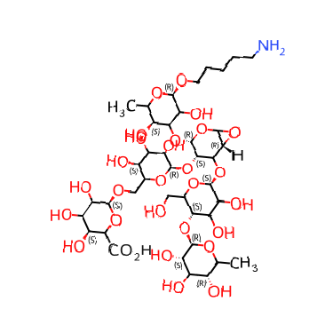 CC1O[C@@H](OCCCCCN)C(O)C(O[C@@H]2OC3O[C@@H]3C(O[C@@H]3OC(CO)[C@@H](O[C@H]4OC(C)[C@H](O)C(O)[C@@H]4O)C(O)C3O)[C@@H]2O[C@H]2OC(CO[C@H]3OC(C(=O)O)[C@@H](O)C(O)C3O)[C@@H](O)C(O)C2O)[C@H]1O